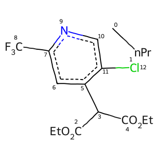 CCCC.CCOC(=O)C(C(=O)OCC)c1cc(C(F)(F)F)ncc1Cl